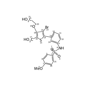 COc1ccc(S(=O)(=O)Nc2cccc(-c3sc(C(=O)O)c(OCC(=O)O)c3Br)c2)cc1